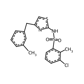 Cc1cccc(Cc2csc(NS(=O)(=O)c3cccc(Cl)c3C)n2)c1